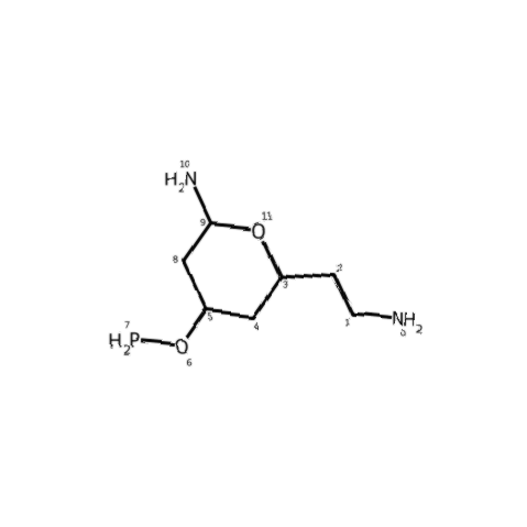 NCCC1CC(OP)CC(N)O1